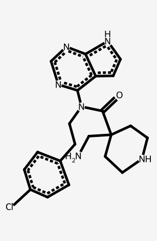 NCC1(C(=O)N(CCc2ccc(Cl)cc2)c2ncnc3[nH]ccc23)CCNCC1